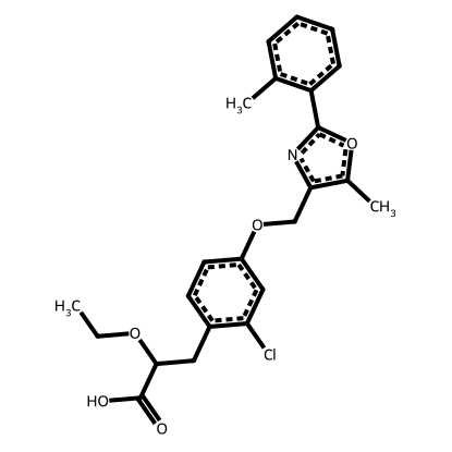 CCOC(Cc1ccc(OCc2nc(-c3ccccc3C)oc2C)cc1Cl)C(=O)O